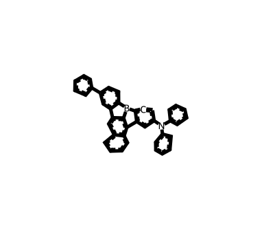 c1ccc(-c2ccc3c(c2)-c2cc4ccccc4c4c2B3c2ccc(N(c3ccccc3)c3ccccc3)cc2-4)cc1